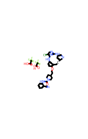 N#Cc1ccccc1NC(=O)N1CCC(CCOc2ccc3cc2CCc2cncc(c2)Nc2ncc(Cl)c(n2)N3)CC1.O=C(O)C(F)(F)F.O=C(O)C(F)(F)F